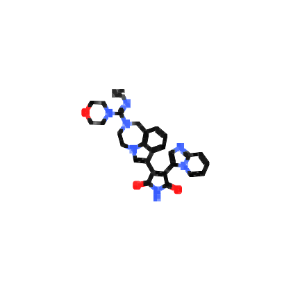 N#CN=C(N1CCOCC1)N1CCn2cc(C3=C(c4cnc5ccccn45)C(=O)NC3=O)c3cccc(c32)C1